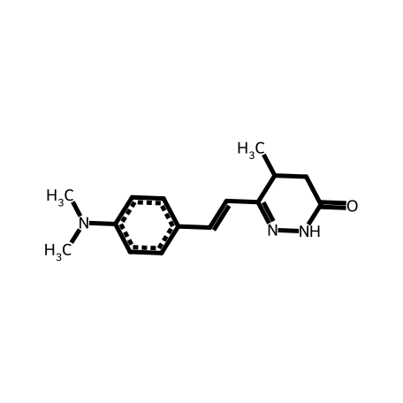 CC1CC(=O)NN=C1C=Cc1ccc(N(C)C)cc1